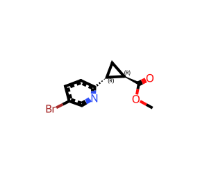 COC(=O)[C@@H]1C[C@H]1c1ccc(Br)cn1